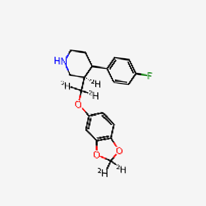 [2H]C1([2H])Oc2ccc(OC([2H])([2H])[C@@]3([2H])CNCCC3c3ccc(F)cc3)cc2O1